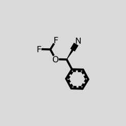 N#C[C@H](OC(F)F)c1ccccc1